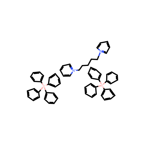 c1cc[n+](CCCCC[n+]2ccccc2)cc1.c1ccc([B-](c2ccccc2)(c2ccccc2)c2ccccc2)cc1.c1ccc([B-](c2ccccc2)(c2ccccc2)c2ccccc2)cc1